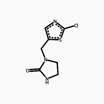 O=C1NCCN1Cc1cnc(Cl)s1